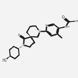 Cc1cc(N2CCC[C@]3(CCN([C@H]4CC[C@H](O)CC4)C3=O)C2)ncc1NC(=O)O